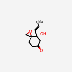 CCCC/C=C/[C@@]1(O)CC(=O)CC[C@]12CO2